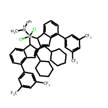 CCC[SiH](C)[Zr]([Cl])([Cl])([CH]1C(CC2CCCCC2)=Cc2c(-c3cc(C(F)(F)F)cc(C(F)(F)F)c3)cccc21)[CH]1C(CC2CCCCC2)=Cc2c(-c3cc(C(F)(F)F)cc(C(F)(F)F)c3)cccc21